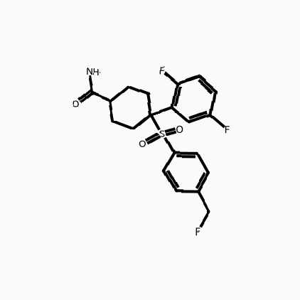 [NH]C(=O)C1CCC(c2cc(F)ccc2F)(S(=O)(=O)c2ccc(CF)cc2)CC1